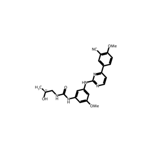 COc1cc(NC(=O)NC[C@H](C)O)cc(Nc2nccc(-c3ccc(OC)c(C#N)c3)n2)c1